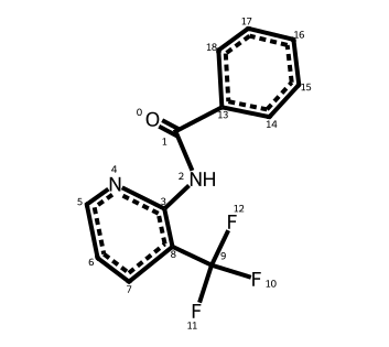 O=C(Nc1ncccc1C(F)(F)F)c1ccccc1